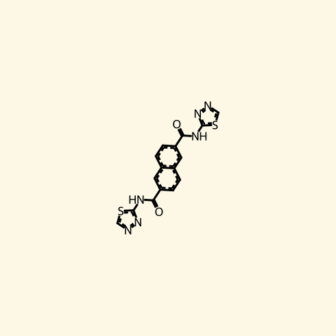 O=C(Nc1nncs1)c1ccc2cc(C(=O)Nc3nncs3)ccc2c1